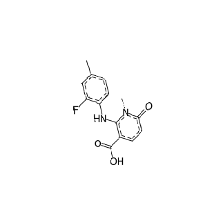 Cc1ccc(Nc2c(C(=O)O)ccc(=O)n2C)c(F)c1